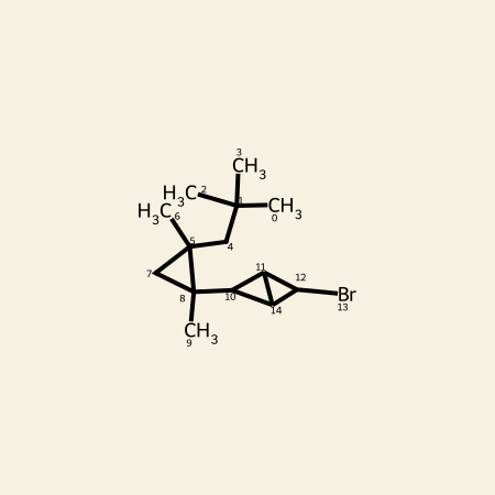 CC(C)(C)CC1(C)CC1(C)C1C2C(Br)C21